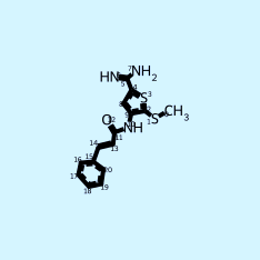 CSc1sc(C(=N)N)cc1NC(=O)/C=C/c1ccccc1